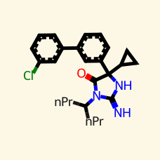 CCCC(CCC)N1C(=N)NC(c2cccc(-c3cccc(Cl)c3)c2)(C2CC2)C1=O